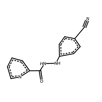 N#Cc1ccc(NNC(=O)c2ccccn2)cc1